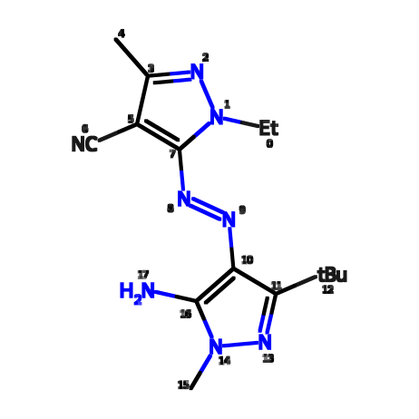 CCn1nc(C)c(C#N)c1N=Nc1c(C(C)(C)C)nn(C)c1N